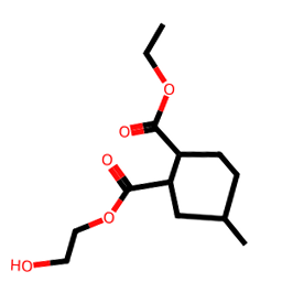 CCOC(=O)C1CCC(C)CC1C(=O)OCCO